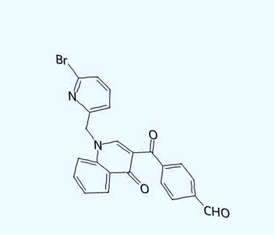 O=Cc1ccc(C(=O)c2cn(Cc3cccc(Br)n3)c3ccccc3c2=O)cc1